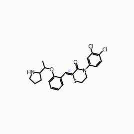 CC(Oc1ccccc1/C=C1\SCCN(c2ccc(Cl)c(Cl)c2)C1=O)C1CCCN1